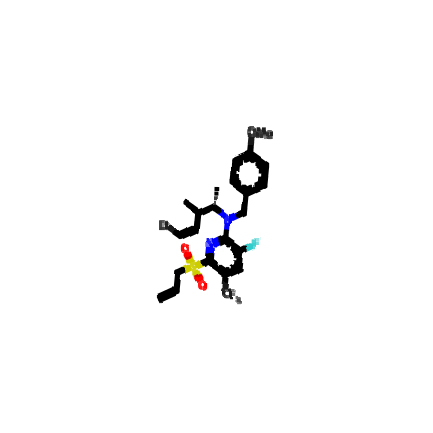 C=CCS(=O)(=O)c1nc(N(Cc2ccc(OC)cc2)[C@@H](C)C(C)/C=C\CC)c(F)cc1C(F)(F)F